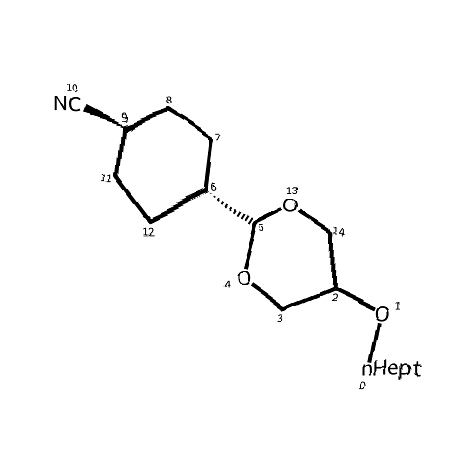 CCCCCCCOC1COC([C@H]2CC[C@H](C#N)CC2)OC1